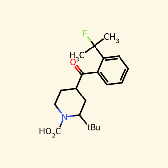 CC(C)(F)c1ccccc1C(=O)C1CCN(C(=O)O)C(C(C)(C)C)C1